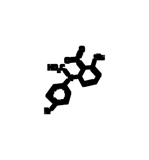 CC(C)(C)C1=CC=CC(N(C(=O)O)c2ccc(Br)cc2)C1=S(=O)=O